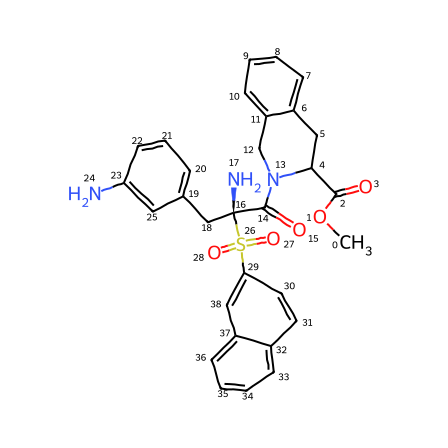 COC(=O)C1Cc2ccccc2CN1C(=O)[C@@](N)(Cc1cccc(N)c1)S(=O)(=O)c1ccc2ccccc2c1